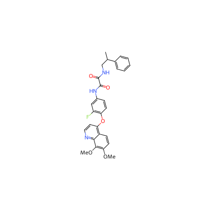 COc1ccc2c(Oc3ccc(NC(=O)C(=O)NCC(C)c4ccccc4)cc3F)ccnc2c1OC